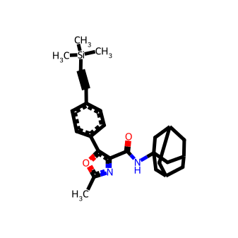 Cc1nc(C(=O)NC23CC4CC(CC(C4)C2)C3)c(-c2ccc(C#C[Si](C)(C)C)cc2)o1